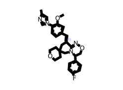 COc1cc(/C=C2\CC3(CCOCC3)CN3C2=NOCC3c2ccc(F)cc2)ccc1-n1cnc(C)c1